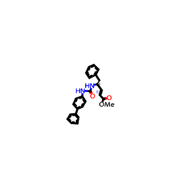 COC(=O)/C=C/[C@H](Cc1ccccc1)NC(=O)Nc1ccc(-c2ccccc2)cc1